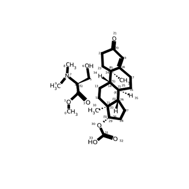 COC(=O)[C@H](CO)N(C)C.C[C@]12CC[C@H]3[C@@H](CCC4=CC(=O)CC[C@@]43C)[C@@H]1CC[C@@H]2OC(=O)O